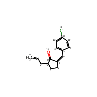 C=CCC1CCC(=Cc2ccc(Cl)cc2)C1=O